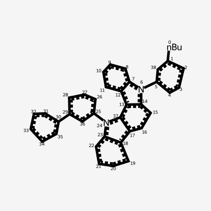 CCCCc1cccc(-n2c3ccccc3c3c2ccc2c4ccccc4n(-c4cccc(-c5ccccc5)c4)c23)c1